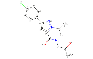 CCCCC1CN(CC(=O)OC)C(=O)c2cc(-c3ccc(Cl)cc3)nn21